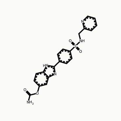 NC(=O)Oc1ccc2[nH]c(-c3ccc(S(=O)(=O)NCc4ccccn4)cc3)nc2c1